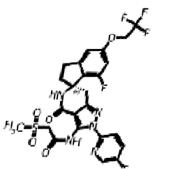 CS(=O)(=O)CC(=O)Nc1c2c(nn1-c1ccc(F)cn1)C[C@@]1(CCc3cc(OCC(F)(F)F)cc(F)c31)NC2=O